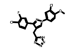 COc1ccc(-n2cc(Cc3nnn[nH]3)c(-c3ccc(Cl)c(F)c3)n2)cc1Cl